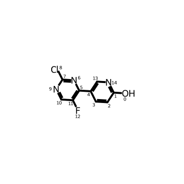 Oc1ccc(-c2nc(Cl)ncc2F)cn1